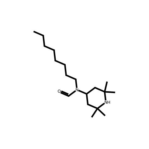 CCCCCCCCN(C=O)C1CC(C)(C)NC(C)(C)C1